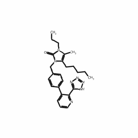 CCCCCc1c(C)n(CCC)c(=O)n1Cc1ccc(-c2cccnc2-c2nnn[nH]2)cc1